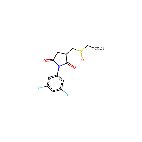 CCOC(=O)C[S+]([O-])CC1CC(=O)N(c2cc(F)cc(F)c2)C1=O